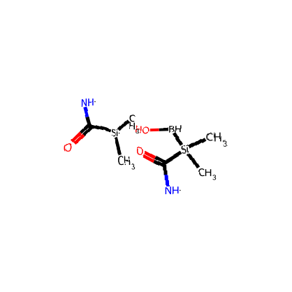 C[Si](C)(BO)C([NH])=O.C[Si](C)C([NH])=O